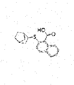 O=C(O)c1c(SC2CC3CCC2C3)ccc2ccccc12